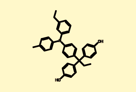 CCc1cccc(N(c2ccc(C)cc2)c2ccc(C(CC)(c3ccc(O)cc3)c3ccc(O)cc3)cc2)c1